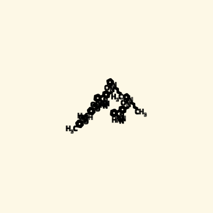 CCCCC1=NC2(CCCC2)C(=O)N1Cc1ccc(-c2ccccc2-c2nnn[nH]2)cc1.CCCCC1=NC2(CCCC2)C(=O)N1Cc1ccc(-c2ccccc2-c2nnn[nH]2)cc1.Cc1ccc(S(=O)(=O)O)cc1.Cc1ccc(S(=O)(=O)O)cc1